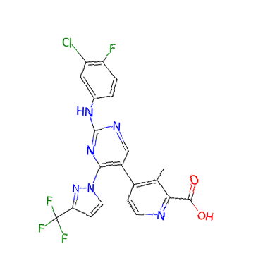 Cc1c(-c2cnc(Nc3ccc(F)c(Cl)c3)nc2-n2ccc(C(F)(F)F)n2)ccnc1C(=O)O